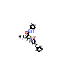 Cc1cc(-n2ccc(CCc3ccccc3)cc2=O)sc1C(=O)NCc1ccccc1